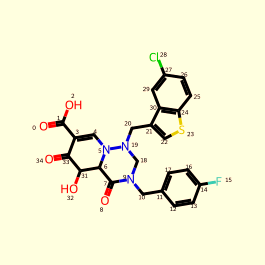 O=C(O)C1=CN2C(C(=O)N(Cc3ccc(F)cc3)CN2Cc2csc3ccc(Cl)cc23)C(O)C1=O